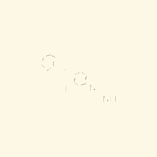 Cc1cc(N2CCNCC2)ccc1OCc1ccccc1.Cl